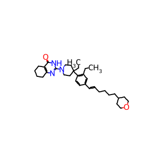 CCc1cc(/C=C/CCCCC2CCOCC2)ccc1C1(CC)CCN(c2nc3c(c(=O)[nH]2)CCCC3)CC1